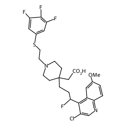 COc1ccc2ncc(Cl)c(C(F)CCC3(CC(=O)O)CCN(CCSc4cc(F)c(F)c(F)c4)CC3)c2c1